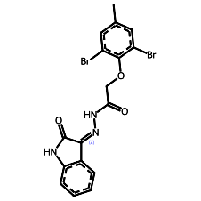 Cc1cc(Br)c(OCC(=O)N/N=C2\C(=O)Nc3ccccc32)c(Br)c1